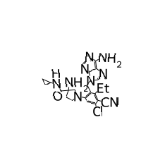 CCc1c(C#N)c(Cl)cc(N2CCC(N)(C(=O)NC3CC3)C2)c1Cn1cnc2c(N)ncnc21